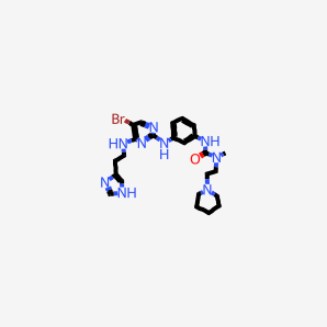 CN(CCN1CCCCC1)C(=O)Nc1cccc(Nc2ncc(Br)c(NCCc3c[nH]cn3)n2)c1